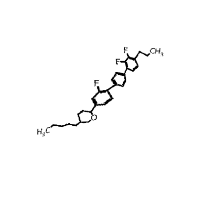 CCCCCC1CCC(c2ccc(-c3ccc(-c4ccc(CCC)c(F)c4F)cc3)c(F)c2)OC1